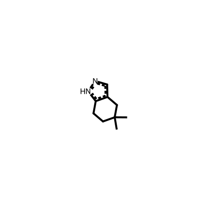 CC1(C)CCc2[nH]ncc2C1